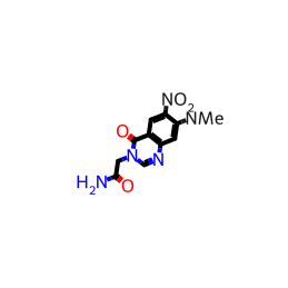 CNc1cc2ncn(CC(N)=O)c(=O)c2cc1[N+](=O)[O-]